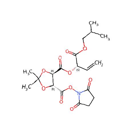 C=C[C@H](OC(=O)[C@@H]1OC(C)(C)O[C@H]1C(=O)ON1C(=O)CCC1=O)C(=O)OCC(C)C